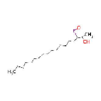 CCCCCCCCCCCCCCCC(P=O)C(C)O